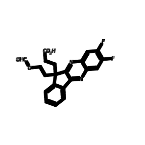 O=COCCC1(CCC(=O)O)c2ccccc2-c2nc3cc(F)c(F)cc3nc21